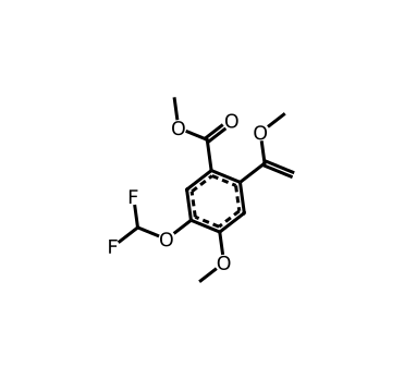 C=C(OC)c1cc(OC)c(OC(F)F)cc1C(=O)OC